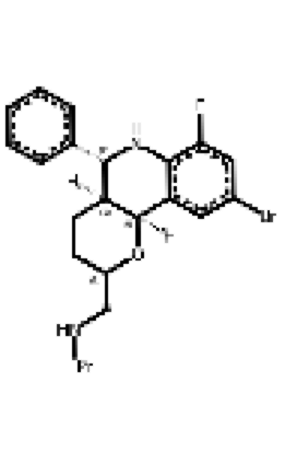 CC(C)NC[C@H]1CC[C@@H]2[C@H](O1)c1cc(Br)cc(F)c1N[C@H]2c1ccccc1